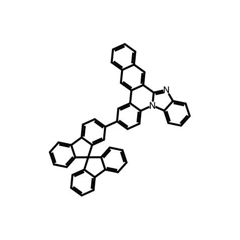 c1ccc2c(c1)-c1ccccc1C21c2ccccc2-c2ccc(-c3ccc4c(c3)c3cc5ccccc5cc3c3nc5ccccc5n43)cc21